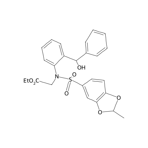 CCOC(=O)CN(c1ccccc1C(O)c1ccccc1)S(=O)(=O)c1ccc2c(c1)OC(C)O2